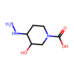 NNC1CCN(C(=O)O)CC1O